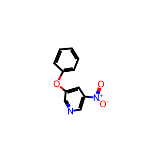 O=[N+]([O-])c1cncc(Oc2ccccc2)c1